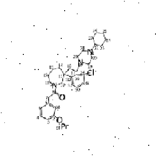 CC(C)Oc1cccc(CC(=O)N2CCCC[C@](CCN3CCN(C4CCCCC4)CC3)(c3cccc(Cl)c3)C2)c1